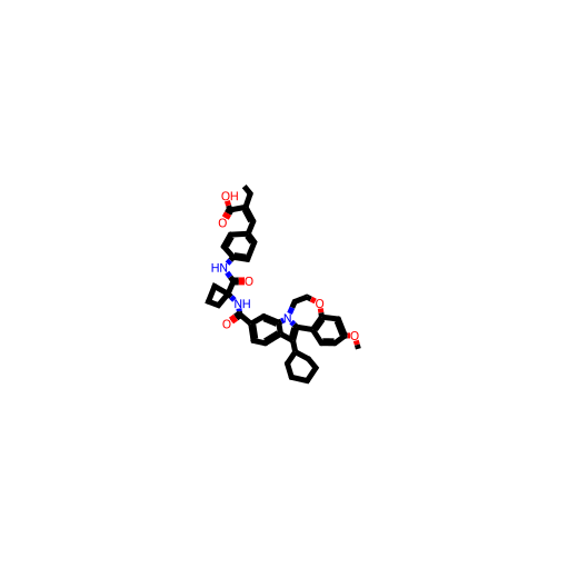 CCC(=Cc1ccc(NC(=O)C2(NC(=O)c3ccc4c(C5CCCCC5)c5n(c4c3)CCOc3cc(OC)ccc3-5)CCC2)cc1)C(=O)O